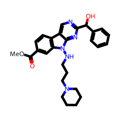 COC(=O)c1ccc2c3cnc(C(O)c4ccccc4)nc3n(NCCCN3CCCCC3)c2c1